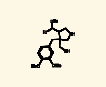 CCCCC(CC)C1CNCC1(CO)Cc1ccc(OC)c(OC)c1